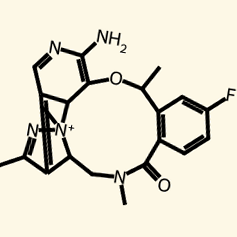 CC1=N[N+]2(C)C3CN(C)C(=O)c4ccc(F)cc4C(C)OC4=C(N)N=CC(=C13)C42